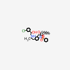 COC(=O)C1(C(=O)OC)Cc2cc(CC(C)NCC(O)c3cccc(Cl)c3)ccc2N1S(=O)(=O)c1ccccc1